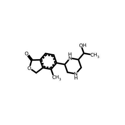 Cc1c(C2CNCC(C(C)O)N2)ccc2c1COC2=O